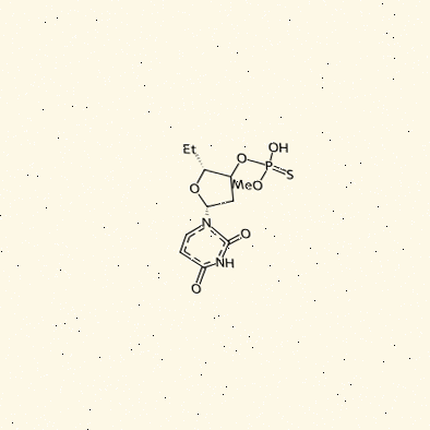 CC[C@H]1O[C@@H](n2ccc(=O)[nH]c2=O)CC1OP(O)(=S)OC